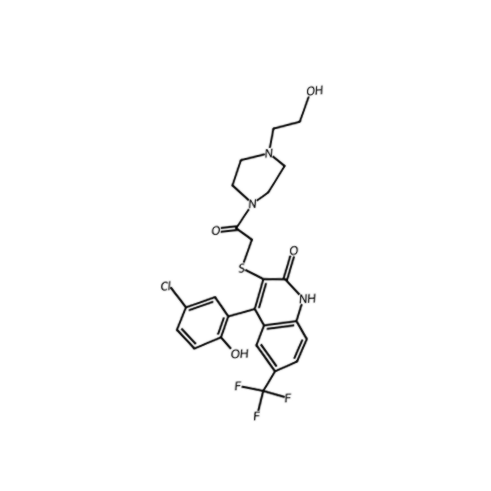 O=C(CSc1c(-c2cc(Cl)ccc2O)c2cc(C(F)(F)F)ccc2[nH]c1=O)N1CCN(CCO)CC1